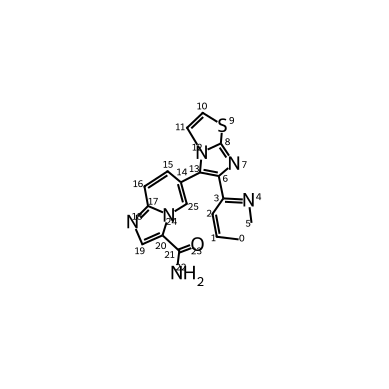 C/C=C\C(=N/C)c1nc2sccn2c1-c1ccc2ncc(C(N)=O)n2c1